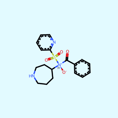 O=C(c1[c]cccc1)[N@+]([O-])(C1CCCNCC1)S(=O)(=O)c1ccccn1